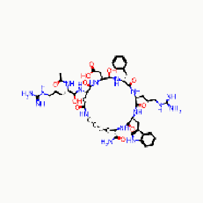 CC(=O)N[C@@H](CCCNC(=N)N)C(O)N[C@H]1CC(=O)NCCCC[C@@H](C(N)=O)NC(=O)[C@H](Cc2c[nH]c3ccccc23)NC(=O)[C@H](CCCNC(=N)N)NC(=O)[C@@H](Cc2ccccc2)NC(O)[C@H](CC(=O)O)NC1=O